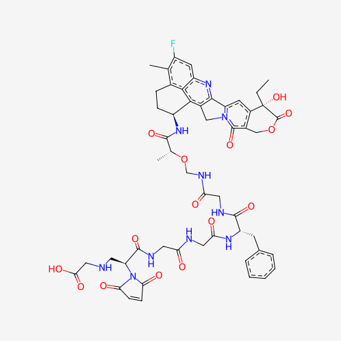 CC[C@@]1(O)C(=O)OCc2c1cc1n(c2=O)Cc2c-1nc1cc(F)c(C)c3c1c2[C@@H](NC(=O)[C@@H](C)OCNC(=O)CNC(=O)[C@H](Cc1ccccc1)NC(=O)CNC(=O)CNC(=O)[C@H](CNCC(=O)O)N1C(=O)C=CC1=O)CC3